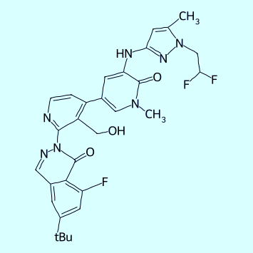 Cc1cc(Nc2cc(-c3ccnc(-n4ncc5cc(C(C)(C)C)cc(F)c5c4=O)c3CO)cn(C)c2=O)nn1CC(F)F